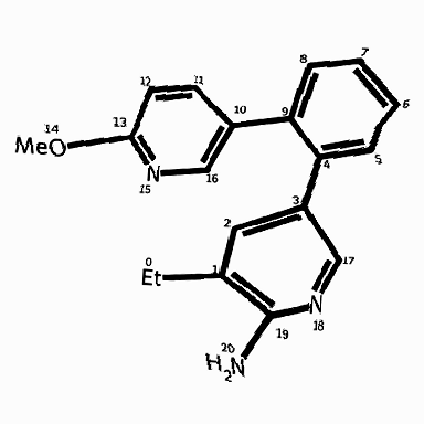 CCc1cc(-c2ccccc2-c2ccc(OC)nc2)cnc1N